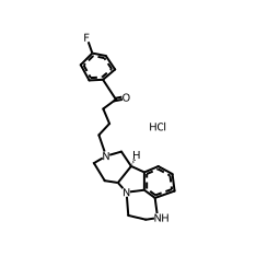 Cl.O=C(CCCN1CCC2[C@@H](C1)c1cccc3c1N2CCN3)c1ccc(F)cc1